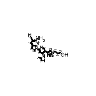 CC(C)Nc1cc(-n2ncc3cc(C#N)c(N)nc32)ncc1-c1cn(CCCO)nn1